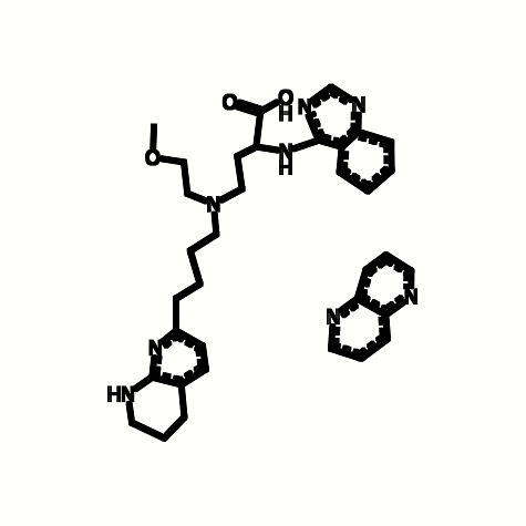 COCCN(CCCCc1ccc2c(n1)NCCC2)CCC(Nc1ncnc2ccccc12)C(=O)O.c1cnc2cccnc2c1